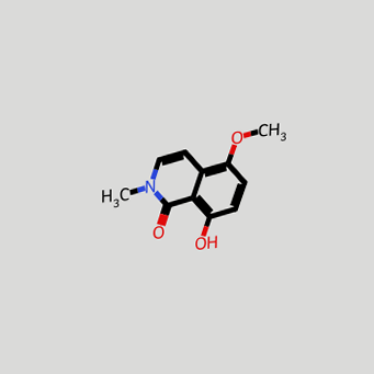 COc1ccc(O)c2c(=O)n(C)ccc12